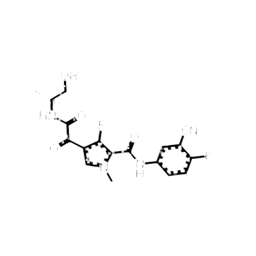 C[C@H](CO)NC(=O)C(=O)c1cn(C)c(C(=O)Nc2ccc(F)c(C#N)c2)c1F